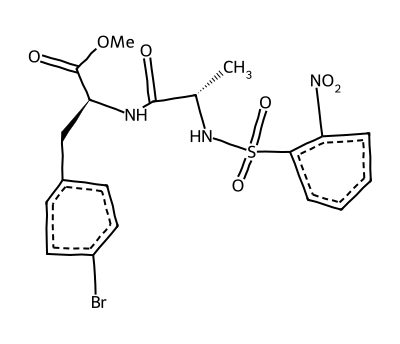 COC(=O)[C@H](Cc1ccc(Br)cc1)NC(=O)[C@H](C)NS(=O)(=O)c1ccccc1[N+](=O)[O-]